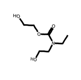 CCN(CCO)C(=O)OCCO